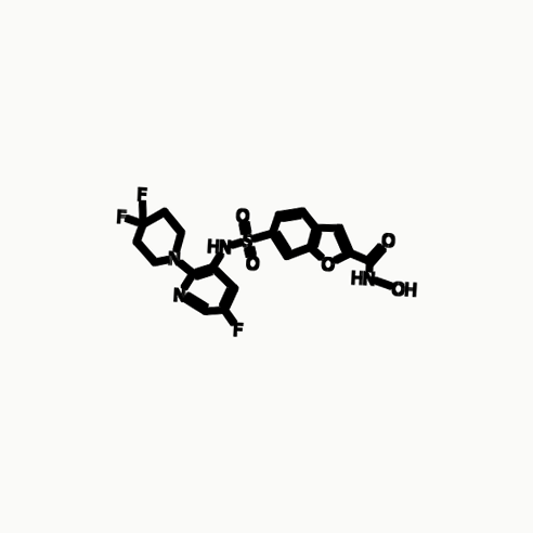 O=C(NO)c1cc2ccc(S(=O)(=O)Nc3cc(F)cnc3N3CCC(F)(F)CC3)cc2o1